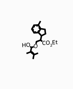 CCOC(=O)C(COC(O)C(C)=C(C)C)C1CCc2c(C)cccc21